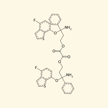 NC(CCOC(=O)C(=O)OCCC(N)(Oc1ccc(F)c2ccsc12)c1ccccc1)(Oc1ccc(F)c2ccsc12)c1ccccc1